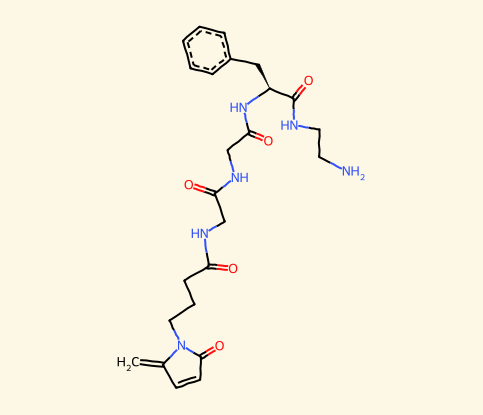 C=C1C=CC(=O)N1CCCC(=O)NCC(=O)NCC(=O)N[C@@H](Cc1ccccc1)C(=O)NCCN